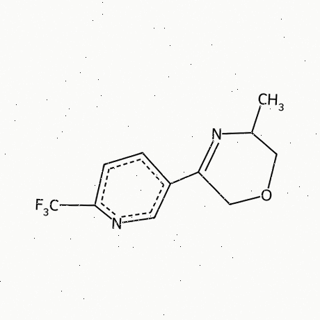 CC1COCC(c2ccc(C(F)(F)F)nc2)=N1